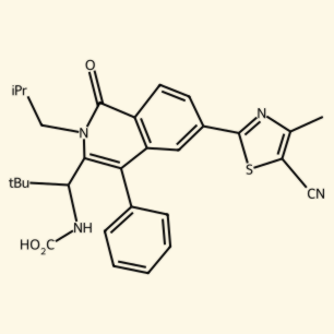 Cc1nc(-c2ccc3c(=O)n(CC(C)C)c(C(NC(=O)O)C(C)(C)C)c(-c4ccccc4)c3c2)sc1C#N